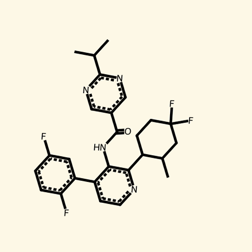 CC(C)c1ncc(C(=O)Nc2c(-c3cc(F)ccc3F)ccnc2C2CCC(F)(F)CC2C)cn1